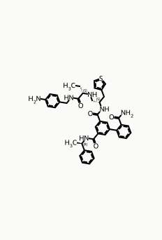 CC[C@H](NC[C@H](Cc1ccsc1)NC(=O)c1cc(C(=O)N[C@H](C)c2ccccc2)cc(-c2ccccc2C(N)=O)c1)C(=O)NCc1ccc(N)cc1